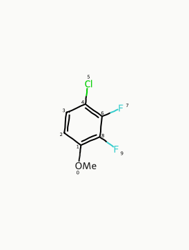 COc1c[c]c(Cl)c(F)c1F